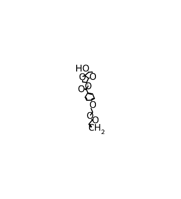 C=CC(=O)OCCOc1ccc(C(=O)O[C@@H]2COC3C(O)COC32)cc1